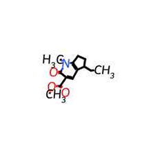 CCC1CCc2c1cc(C(=O)OC)c(=O)n2C